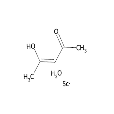 CC(=O)/C=C(/C)O.O.[Sc]